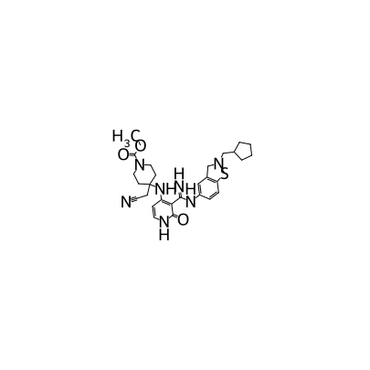 COC(=O)N1CCC(CC#N)(Nc2cc[nH]c(=O)c2C(=N)Nc2ccc3c(c2)CN(CC2CCCC2)S3)CC1